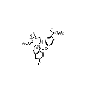 COC(=O)c1ccc2c(c1)N(C[C@@H]1CC[C@H]1COC(C)=O)C[C@@]1(CCCc3cc(Cl)ccc31)CO2